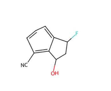 N#Cc1cccc2c1C(O)CC2F